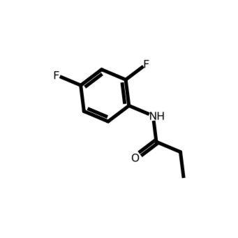 CCC(=O)Nc1ccc(F)cc1F